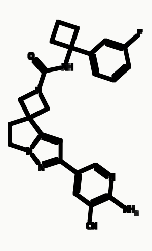 N#Cc1cc(-c2cc3n(n2)CCC32CN(C(=O)NC3(c4cccc(F)c4)CCC3)C2)cnc1N